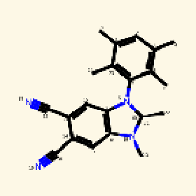 Cc1cc(C)c(C)c(N2c3cc(C#N)c(C#N)cc3N(C)[C@@H]2C)c1C